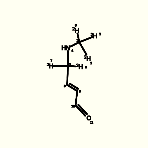 [2H]C([2H])([2H])NC([2H])([2H])C=CC=O